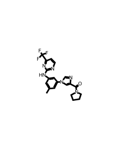 Cc1cc(Nc2nccc(C(F)(F)F)n2)cc(-n2cnc(C(=O)N3CCCC3)c2)c1